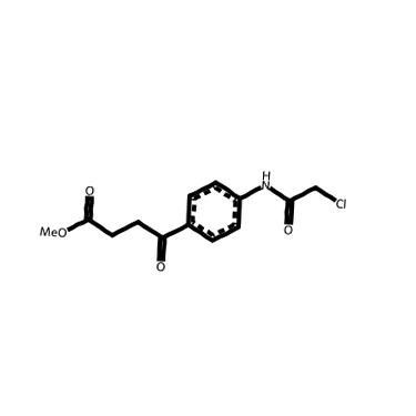 COC(=O)CCC(=O)c1ccc(NC(=O)CCl)cc1